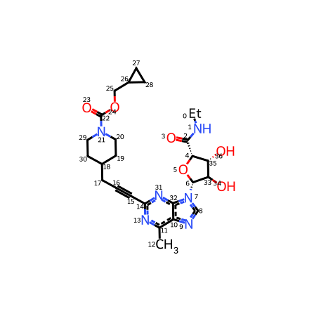 CCNC(=O)[C@H]1O[C@@H](n2cnc3c(C)nc(C#CCC4CCN(C(=O)OCC5CC5)CC4)nc32)C(O)[C@H]1O